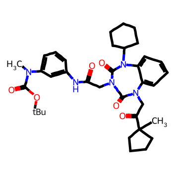 CN(C(=O)OC(C)(C)C)c1cccc(NC(=O)CN2C(=O)N(CC(=O)C3(C)CCCC3)c3ccccc3N(C3CCCCC3)C2=O)c1